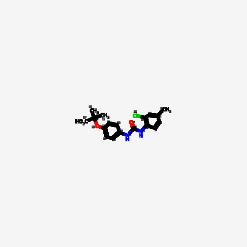 Cc1ccc(NC(=O)Nc2ccc(OC(C)(C)C(=O)O)cc2)c(Cl)c1